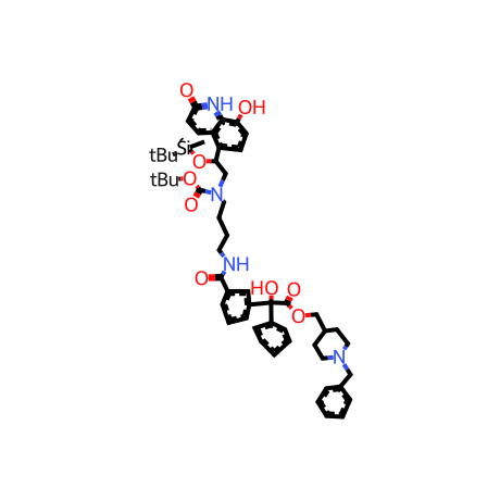 CC(C)(C)OC(=O)N(CCCCNC(=O)c1cccc(C(O)(C(=O)OCC2CCN(Cc3ccccc3)CC2)c2ccccc2)c1)CC(O[Si](C)(C)C(C)(C)C)c1ccc(O)c2[nH]c(=O)ccc12